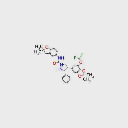 CC1(C)Cc2cc(NC(=O)N3CC(c4cc(OC(F)F)c5c(c4)OC(C)(C)O5)=C(c4ccccc4)N3)ccc2O1